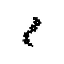 Nc1nc(-c2ccc(CCN3CCN(c4cccc(Cl)c4)CC3)s2)cs1